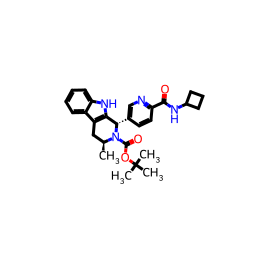 C[C@H]1Cc2c([nH]c3ccccc23)[C@H](c2ccc(C(=O)NC3CCC3)nc2)N1C(=O)OC(C)(C)C